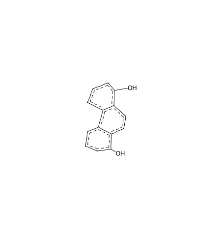 Oc1cccc2c1ccc1c(O)cccc12